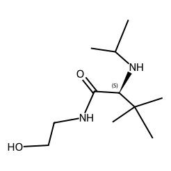 CC(C)N[C@H](C(=O)NCCO)C(C)(C)C